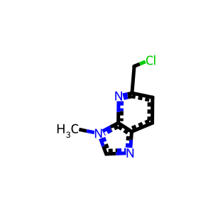 Cn1cnc2ccc(CCl)nc21